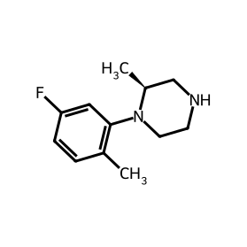 Cc1ccc(F)cc1N1CCNC[C@@H]1C